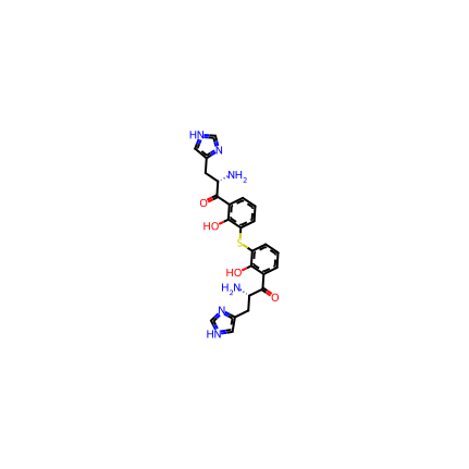 N[C@@H](Cc1c[nH]cn1)C(=O)c1cccc(Sc2cccc(C(=O)[C@@H](N)Cc3c[nH]cn3)c2O)c1O